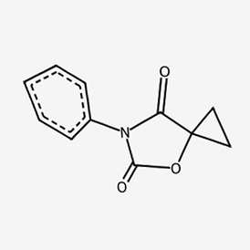 O=C1OC2(CC2)C(=O)N1c1ccccc1